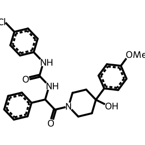 COc1ccc(C2(O)CCN(C(=O)C(NC(=O)Nc3ccc(Cl)cc3)c3ccccc3)CC2)cc1